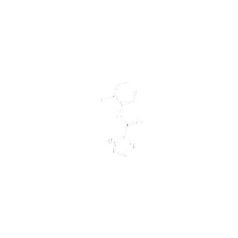 CCc1ccccc1OC(=O)c1ncc[nH]1